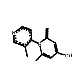 C=C1C=C(O)C=C(C)N1c1ccncc1C